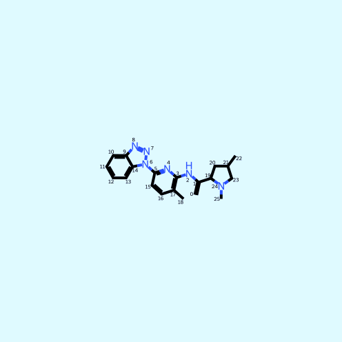 C=C(Nc1nc(-n2nnc3ccccc32)ccc1C)C1CC(C)CN1C